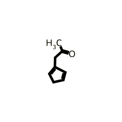 CC(=O)CC1=CCC=C1